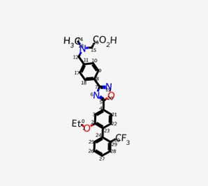 CCOc1cc(-c2nc(-c3ccc(CN(C)CC(=O)O)cc3)no2)ccc1-c1ccccc1C(F)(F)F